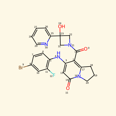 O=C(c1c(Nc2ccc(Br)cc2F)cc(=O)n2c1CCC2)N1CC(O)(c2ccccn2)C1